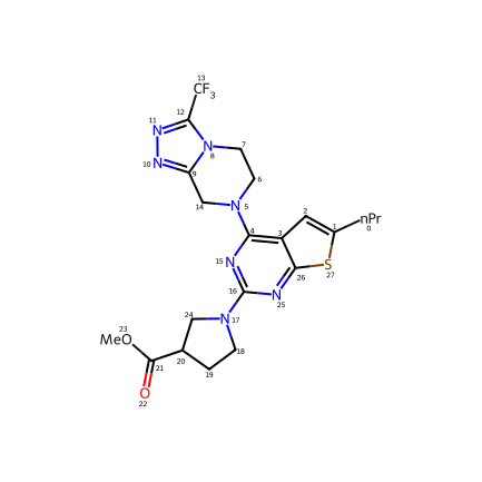 CCCc1cc2c(N3CCn4c(nnc4C(F)(F)F)C3)nc(N3CCC(C(=O)OC)C3)nc2s1